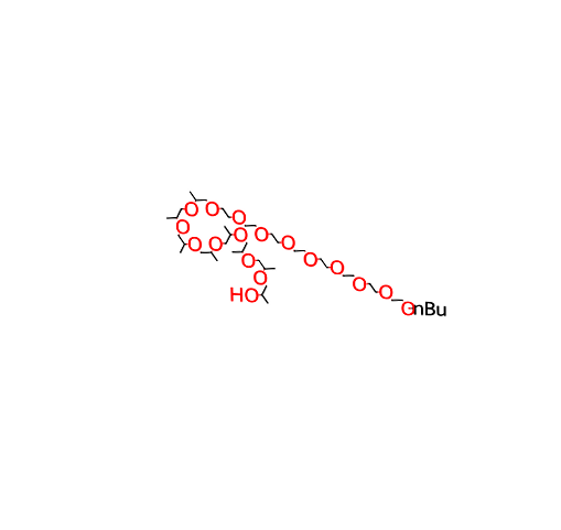 CCCCOCCOCCOCCOCCOCCOCCOCCOCCOCC(C)OCC(C)OCC(C)OCC(C)OCC(C)OCC(C)OCC(C)OCC(C)O